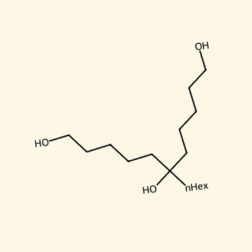 CCCCCCC(O)(CCCCCO)CCCCCO